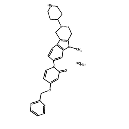 Cl.Cl.Cn1c2c(c3ccc(-n4ccc(OCc5ccccc5)cc4=O)cc31)CN(C1CCNCC1)CC2